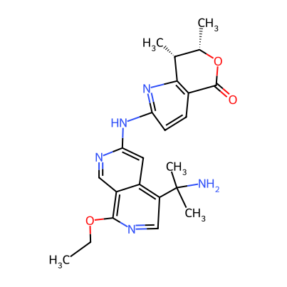 CCOc1ncc(C(C)(C)N)c2cc(Nc3ccc4c(n3)[C@H](C)[C@H](C)OC4=O)ncc12